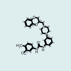 Cc1ccc(NC(=O)Nc2cccc(N3CCN(CC4COc5ccccc5O4)CC3)c2)cc1Cl